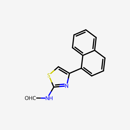 O=CNc1nc(-c2cccc3ccccc23)cs1